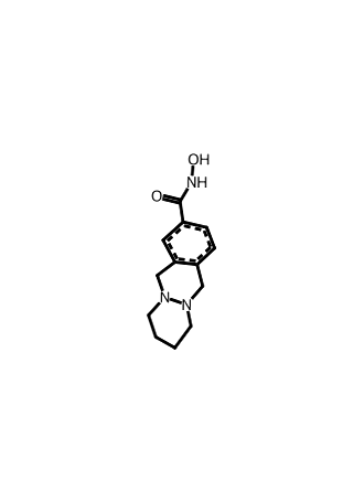 O=C(NO)c1ccc2c(c1)CN1CCCCN1C2